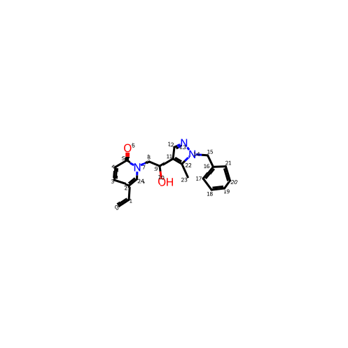 C=Cc1ccc(=O)n(CC(O)c2cnn(Cc3ccccc3)c2C)c1